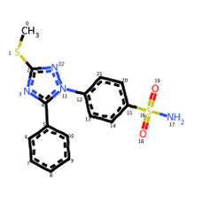 CSc1nc(-c2ccccc2)n(-c2ccc(S(N)(=O)=O)cc2)n1